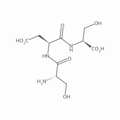 N[C@@H](CO)C(=O)N[C@@H](CC(=O)O)C(=O)N[C@@H](CO)C(=O)O